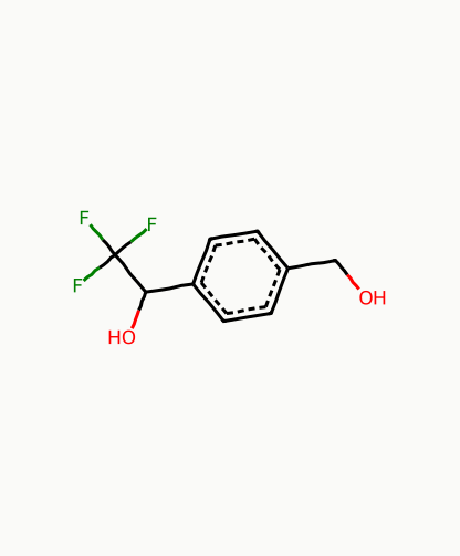 OCc1ccc(C(O)C(F)(F)F)cc1